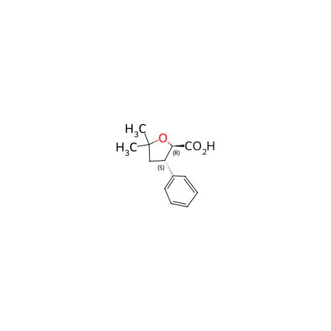 CC1(C)C[C@@H](c2ccccc2)[C@H](C(=O)O)O1